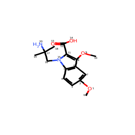 COc1ccc2c(c1)c(OC)c(C(=O)O)n2CC(C)(C)N